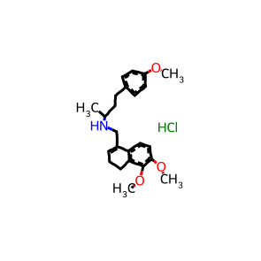 COc1ccc(CCC(C)NCC2=CCCc3c2ccc(OC)c3OC)cc1.Cl